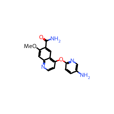 COc1cc2nccc(Oc3ccc(N)cn3)c2cc1C(N)=O